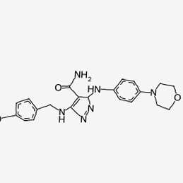 NC(=O)C1=C(NCc2ccc(O)cc2)N=NC1Nc1ccc(N2CCOCC2)cc1